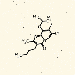 CCCCc1c(C)nc2c(OC(C)C)c(I)c(Cl)cn2c1=O